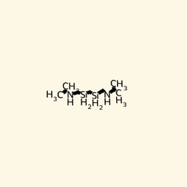 CC(C)NC[SiH2]C[SiH2]CNC(C)C